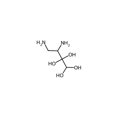 NCC(N)C(O)(O)C(O)O